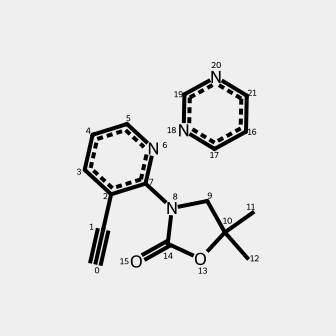 C#Cc1cccnc1N1CC(C)(C)OC1=O.c1cncnc1